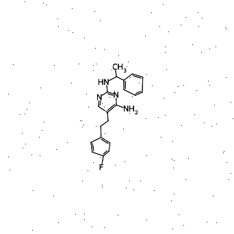 CC(Nc1ncc(CCc2ccc(F)cc2)c(N)n1)c1ccccc1